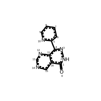 O=c1[nH]nc(-c2ccccn2)c2ncncc12